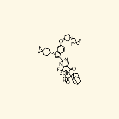 O=C(NC1(C(=O)O)C2CC3CC(C2)CC1C3)c1cnc(-c2cn(C3CCC(F)(F)CC3)c3cc(O[C@H]4CCN(CC(F)(F)F)C4)ccc23)nc1C(F)(F)F